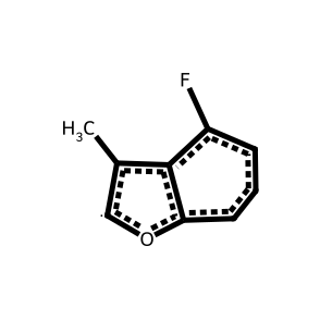 Cc1[c]oc2cccc(F)c12